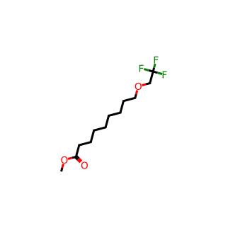 COC(=O)CCCCCCCCOCC(F)(F)F